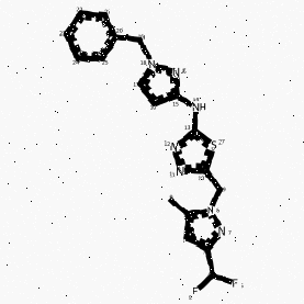 Cc1cc(C(F)F)nn1Cc1nnc(Nc2ccn(Cc3ccccc3)n2)s1